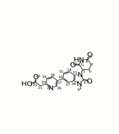 Cn1c(=O)n(C2CCC(=O)NC2=O)c2ccc(-c3ccc(CC(=O)O)nc3)cc21